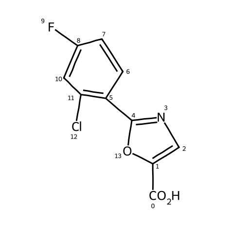 O=C(O)c1cnc(-c2ccc(F)cc2Cl)o1